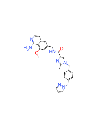 COc1cc(CNC(=O)c2cn(Cc3ccc(Cn4cccn4)cc3)c(C)n2)cc2ccnc(N)c12